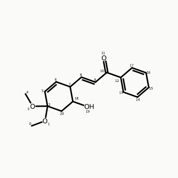 COC1(OC)C=CC(C=CC(=O)c2ccccc2)C(O)C1